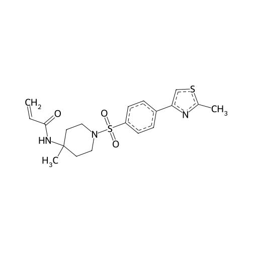 C=CC(=O)NC1(C)CCN(S(=O)(=O)c2ccc(-c3csc(C)n3)cc2)CC1